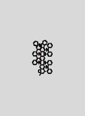 CC1=CC(C)c2c(cc3c4c2N(c2ccccc2)c2ccccc2B4c2cc4c(cc2N3c2ccccc2)N(c2c(-c3ccccc3)cccc2-c2ccccc2)c2cc3c(c5c2B4c2ccccc2N5c2ccccc2)c2ccccc2n3-c2ccccc2)O1